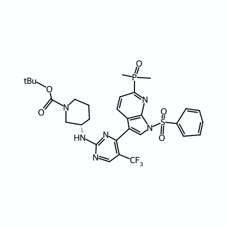 CC(C)(C)OC(=O)N1CCC[C@H](Nc2ncc(C(F)(F)F)c(-c3cn(S(=O)(=O)c4ccccc4)c4nc(P(C)(C)=O)ccc34)n2)C1